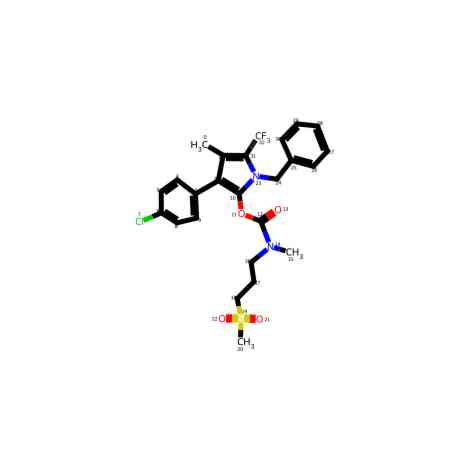 Cc1c(-c2ccc(Cl)cc2)c(OC(=O)N(C)CCCS(C)(=O)=O)n(Cc2ccccc2)c1C(F)(F)F